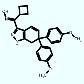 COc1ccc(C2(c3ccc(OC)cc3)C=Cc3c(/C(=N/O)C4CCC4)n[nH]c3C2)cc1